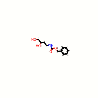 O=C(NCC[C@@H](O)CO)OCc1ccccc1